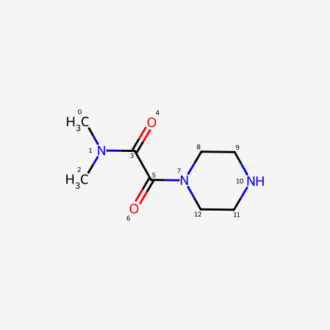 CN(C)C(=O)C(=O)N1CCNCC1